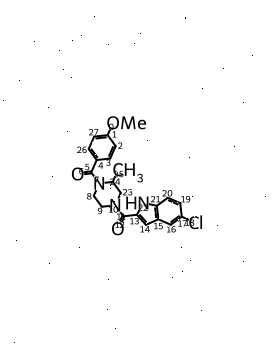 COc1ccc(C(=O)N2CCN(C(=O)c3cc4cc(Cl)ccc4[nH]3)CC2C)cc1